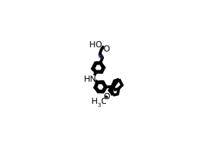 COc1ccc(Nc2ccc(/C=C/C(=O)O)cc2)cc1C12CC3CC(CC(C3)C1)C2